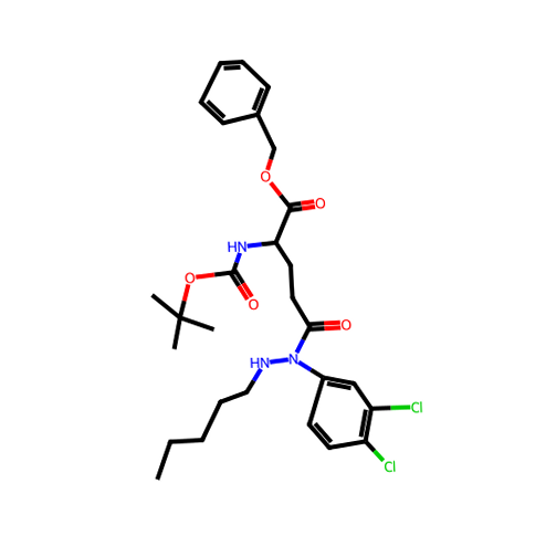 CCCCCNN(C(=O)CCC(NC(=O)OC(C)(C)C)C(=O)OCc1ccccc1)c1ccc(Cl)c(Cl)c1